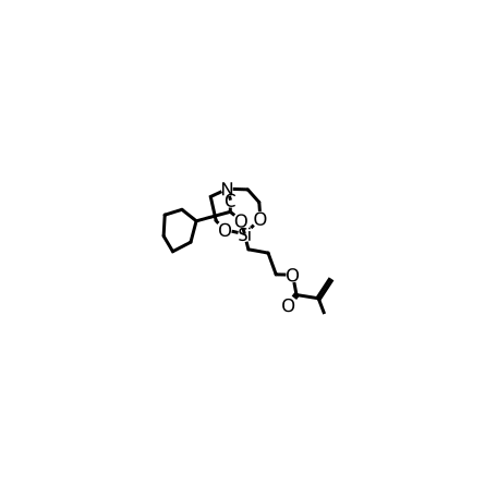 C=C(C)C(=O)OCCC[Si]12OCCN(CCO1)CC(C1CCCCC1)O2